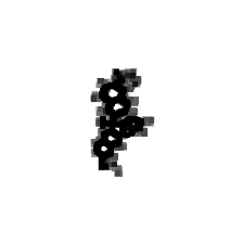 Nc1ccc2cc(C(I)(c3ccc4cc(N)ccc4c3)c3ccco3)ccc2c1